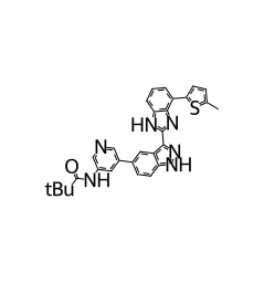 Cc1ccc(-c2cccc3[nH]c(-c4n[nH]c5ccc(-c6cncc(NC(=O)C(C)(C)C)c6)cc45)nc23)s1